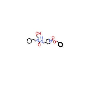 O=C(NCC1CCN(C(=O)OCc2ccccc2)CC1)N(CCO)CCC1CCCCC1